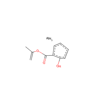 C=C(C)OC(=O)c1ccccc1O.[AlH3]